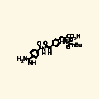 CCCCS(=O)(=O)N[C@@H](Cc1ccc(NC(=O)NC(=O)c2ccc(C(=N)N)cc2)cc1)C(=O)O